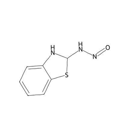 O=NNC1Nc2ccccc2S1